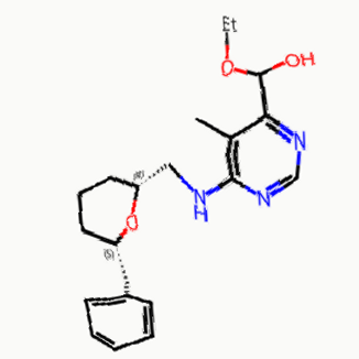 CCOC(O)c1ncnc(NC[C@H]2CCC[C@@H](c3ccccc3)O2)c1C